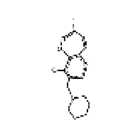 Oc1c(CN2CCCCC2)ccc2c1ON=C(F)C=C2